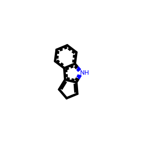 C1=c2[nH]c3ccccc3c2=CC1